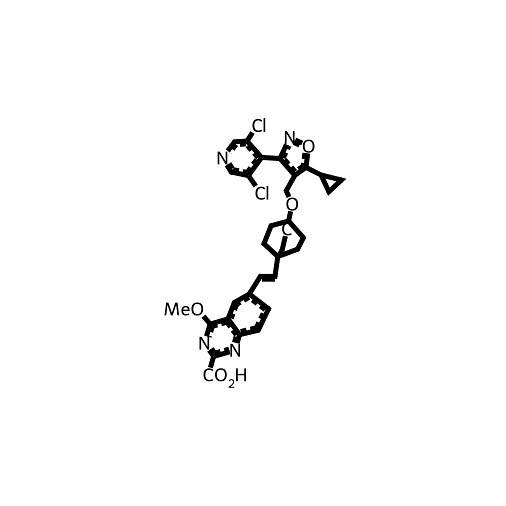 COc1nc(C(=O)O)nc2ccc(/C=C/C34CCC(OCc5c(-c6c(Cl)cncc6Cl)noc5C5CC5)(CC3)CC4)cc12